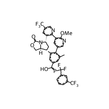 COc1ncc(-c2c(C)cc(/C(O)=P\C(F)(F)c3cccc(C(F)(F)F)c3)cc2C)cc1-c1ncc(C(F)(F)F)cc1[C@@H]1CC[C@H]2COC(=O)N21